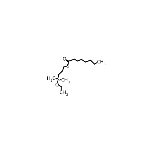 CCCCCCCC(=O)SCCC[Si](C)(C)OCC